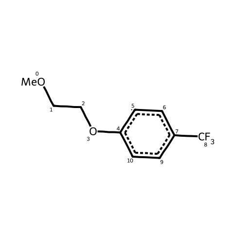 COCCOc1[c]cc(C(F)(F)F)cc1